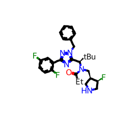 CCC(=O)N(C[C@@H]1CNC[C@@H]1F)[C@@H](c1nc(-c2cc(F)ccc2F)nn1Cc1ccccc1)C(C)(C)C